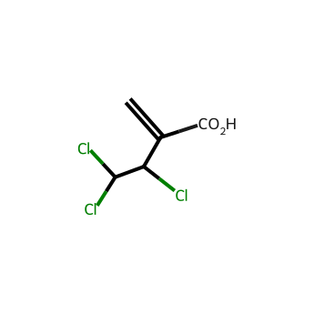 C=C(C(=O)O)C(Cl)C(Cl)Cl